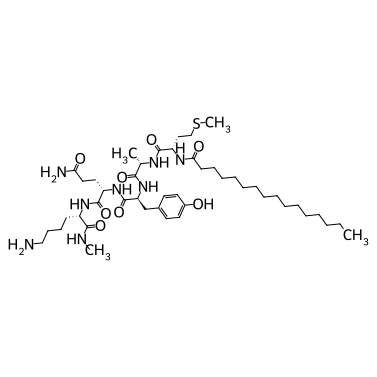 CCCCCCCCCCCCCCCC(=O)N[C@@H](CCSC)C(=O)N[C@@H](C)C(=O)N[C@@H](Cc1ccc(O)cc1)C(=O)N[C@@H](CCC(N)=O)C(=O)N[C@@H](CCCCN)C(=O)NC